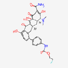 CN(C)[C@H]1C(O)=C(C(N)=O)C(=O)[C@@]2(O)C(O)=C3C(=O)c4c(O)ccc(-c5ccc(NC(=O)OCCF)cc5)c4C[C@@H]3C[C@H]12